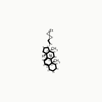 CCOOCC[C@H]1CC[C@H]2C3=CC=C4CCCC[C@@]4(C)[C@@H]3CC[C@]12C